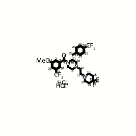 COc1cc(C(=O)N2CCN(CCN3CCC(F)(F)CC3)C[C@H]2Cc2ccc(C(F)(F)F)cc2)cc(C(F)(F)F)c1.Cl.Cl